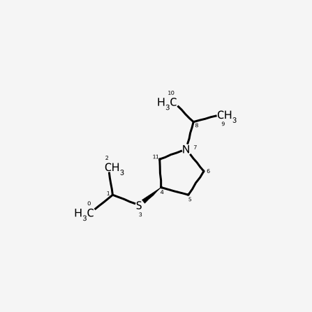 CC(C)S[C@@H]1CCN(C(C)C)C1